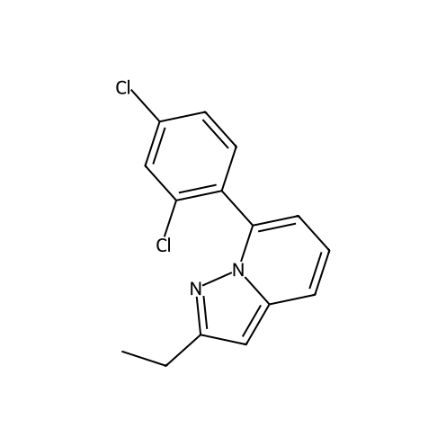 CCc1cc2cccc(-c3ccc(Cl)cc3Cl)n2n1